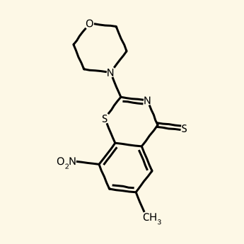 Cc1cc([N+](=O)[O-])c2sc(N3CCOCC3)nc(=S)c2c1